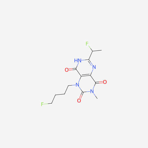 CC(F)c1nc2c(=O)n(C)c(=O)n(CCCCF)c2c(=O)[nH]1